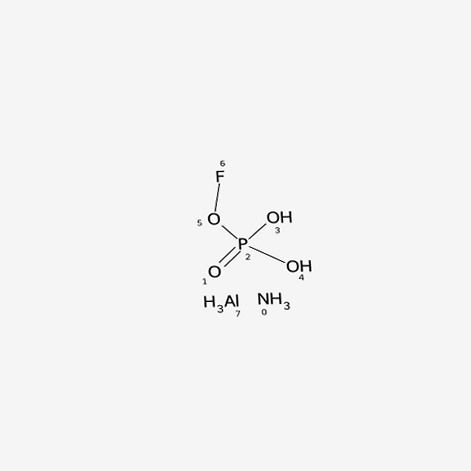 N.O=P(O)(O)OF.[AlH3]